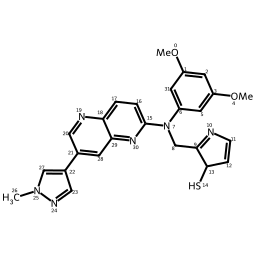 COc1cc(OC)cc(N(CC2=NC=CC2S)c2ccc3ncc(-c4cnn(C)c4)cc3n2)c1